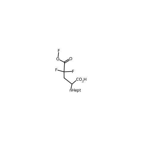 CCCCCCCC(CC(F)(F)C(=O)OF)C(=O)O